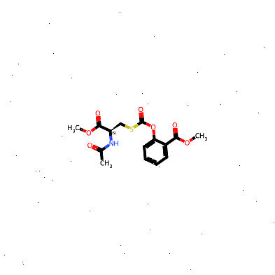 COC(=O)c1ccccc1OC(=O)SC[C@@H](NC(C)=O)C(=O)OC